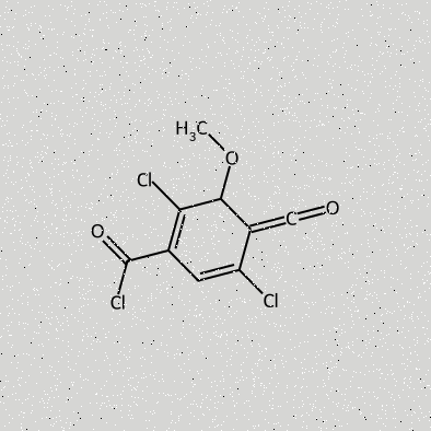 COC1C(=C=O)C(Cl)=CC(C(=O)Cl)=C1Cl